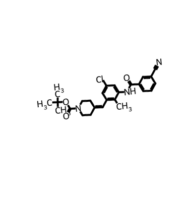 Cc1c(C=C2CCN(C(=O)OC(C)(C)C)CC2)cc(Cl)cc1NC(=O)c1cccc(C#N)c1